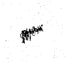 CCOc1cncc(-c2cc(OC)c(NC(=O)C(C)(C)c3ccnc(N[S+]([O-])C4CC4)n3)cc2F)n1